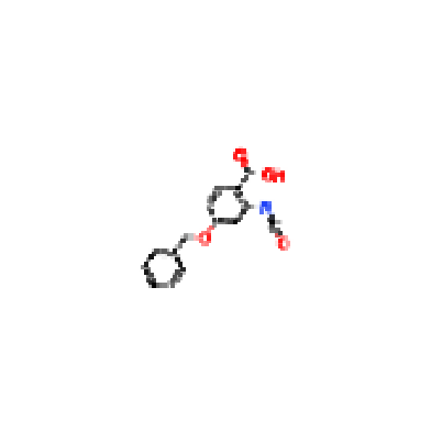 O=C=Nc1cc(OCc2ccccc2)ccc1C(=O)O